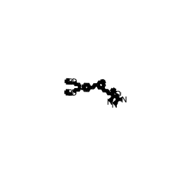 COC(=C(C#N)C#N)/C(C#N)=C(/C=C/C=C1C=C(/C=C/c2ccc(N(CCO[Si](C)(C)C(C)(C)C)CCO[Si](C)(C)C(C)(C)C)cc2)CC(C)(C)C/1)C(C)(C)C